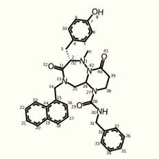 CN1[C@@H](Cc2ccc(O)cc2)C(=O)N(Cc2cccc3ccccc23)CC2N(C(=O)NCc3ccccc3)CCC(=O)N21